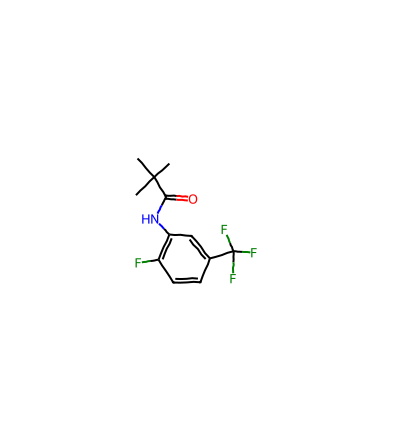 CC(C)(C)C(=O)Nc1cc(C(F)(F)F)ccc1F